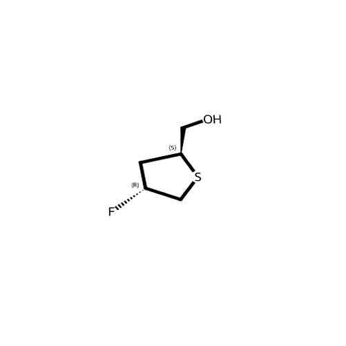 OC[C@@H]1C[C@@H](F)CS1